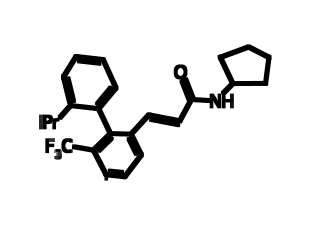 CC(C)c1ccccc1-c1c(C(F)(F)F)[c]ccc1/C=C/C(=O)NC1CCCC1